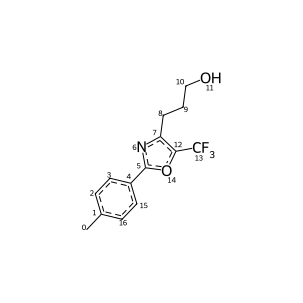 Cc1ccc(-c2nc(CCCO)c(C(F)(F)F)o2)cc1